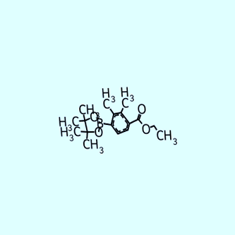 CCOC(=O)c1ccc(B2OC(C)(C)C(C)(C)O2)c(C)c1C